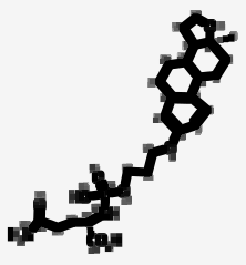 C[C@]12CCC3c4ccc(OCCCOP(=O)(O)N[C@@H](CCC(N)=O)C(=O)O)cc4CCC3C1CCO2